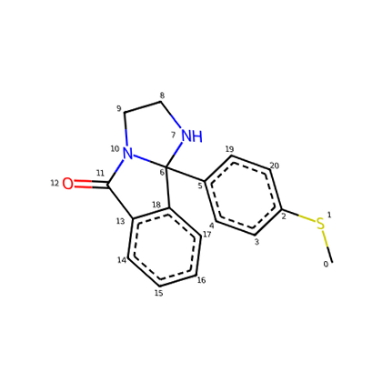 CSc1ccc(C23NCCN2C(=O)c2ccccc23)cc1